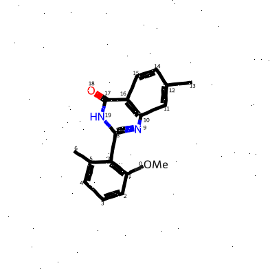 COc1cccc(C)c1-c1nc2cc(C)ccc2c(=O)[nH]1